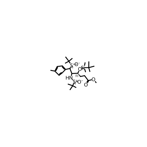 COC(=O)CC[C@H](O[Si](C)(C)C(C)(C)C)C(N[S@@+]([O-])C(C)(C)C)C(c1ccc(C)cc1)[S@@+]([O-])C(C)(C)C